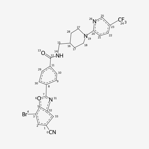 N#Cc1cc(Br)c2oc(-c3ccc(C(=O)NCC4CCN(c5ccc(C(F)(F)F)cn5)CC4)cc3)nc2c1